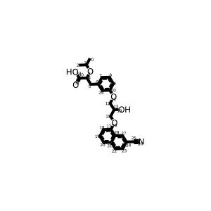 CC(C)OC(Cc1cccc(OCC(O)COc2cccc3ccc(C#N)cc23)c1)C(=O)O